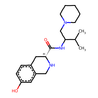 CC(C)C(CN1CCCCC1)NC(=O)[C@H]1Cc2ccc(O)cc2CN1